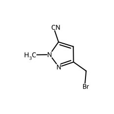 Cn1nc(CBr)cc1C#N